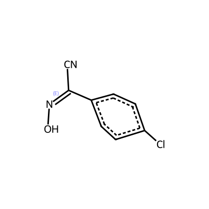 N#C/C(=N/O)c1ccc(Cl)cc1